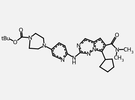 CN(C)C(=O)c1cc2cnc(Nc3ccc(N4CCN(C(=O)OC(C)(C)C)CC4)cn3)nn2c1C1CCCC1